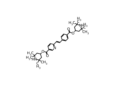 CC1(C)CC(OC(=O)c2ccc(/C=C/c3ccc(C(=O)OC4CC(C)(C)NC(C)(C)C4)cn3)cc2)CC(C)(C)N1